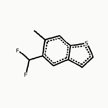 Cc1cc2sccc2cc1C(F)F